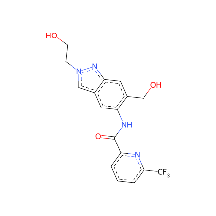 O=C(Nc1cc2cn(CCO)nc2cc1CO)c1cccc(C(F)(F)F)n1